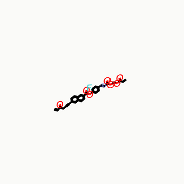 C=CC(=O)CC#Cc1ccc2cc(C(=O)Oc3ccc(/C=C/C(=O)OCOC(=O)C=C)cc3F)ccc2c1